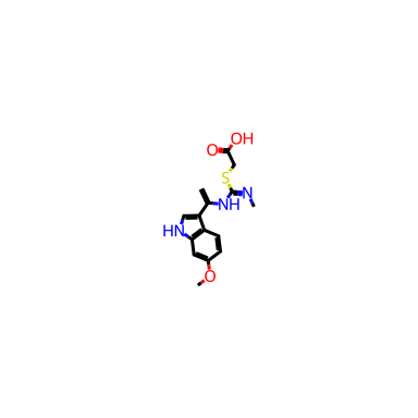 C=C(N/C(=N\C)SCC(=O)O)c1c[nH]c2cc(OC)ccc12